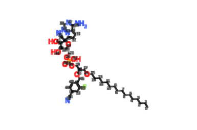 CCCCCCCCCCCCCCCCOC[C@H](COP(=O)(O)OC[C@H]1O[C@@](C#N)(c2ccc3c(N)ncnn23)[C@H](O)[C@@H]1O)OCc1ccc(C#N)cc1F